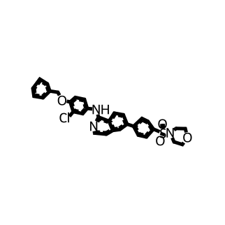 O=S(=O)(c1ccc(-c2ccc3c(Nc4ccc(OCc5ccccc5)c(Cl)c4)nccc3c2)cc1)N1CCOCC1